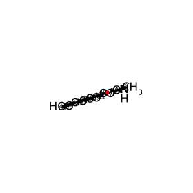 CNCCOCCOCCOCCOCCOCCOCCOCCOCCO